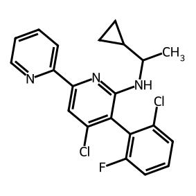 CC(Nc1nc(-c2ccccn2)cc(Cl)c1-c1c(F)cccc1Cl)C1CC1